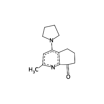 Cc1cc(N2CCCC2)c2c(n1)C(=O)CCC2